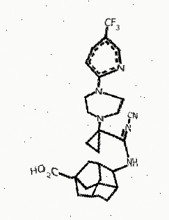 N#C/N=C(/NC1C2CC3CC1CC(C(=O)O)(C3)C2)C1(N2CCN(c3ccc(C(F)(F)F)cn3)CC2)CC1